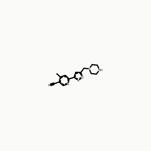 Cc1cc(-c2cc(CN3CCNCC3)on2)ncc1C#N